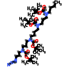 CCCCN(CCCN(CCCCN(CCCN(CCCN=[N+]=[N-])C(=O)OC(C)(C)C)C(=O)OC(C)(C)C)C(=O)OC(C)(C)C)C(=O)OC(C)(C)C